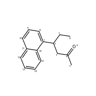 CCC(CC(C)=O)c1cccc2ccccc12